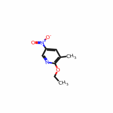 CCOc1ncc([N+](=O)[O-])cc1C